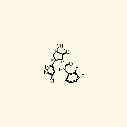 CN1C[C@H](c2cc(Cl)n[nH]2)[C@@H](C(=O)Nc2cccc(F)c2F)C1=O